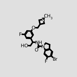 CN1CC(COc2cc(F)cc(C(CO)NC(=O)N3CCc4cc(Br)c(F)cc43)c2)C1